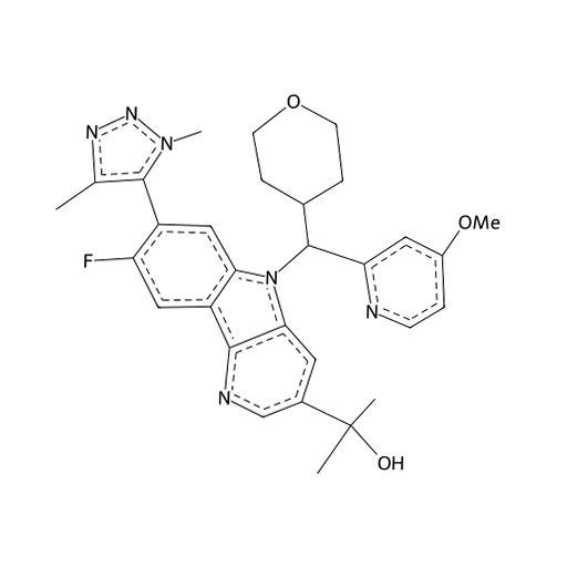 COc1ccnc(C(C2CCOCC2)n2c3cc(-c4c(C)nnn4C)c(F)cc3c3ncc(C(C)(C)O)cc32)c1